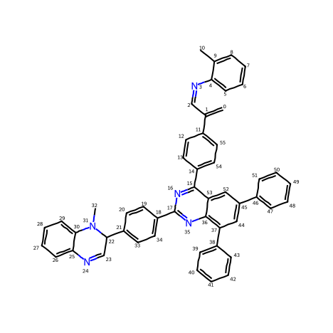 C=C(/C=N\c1ccccc1C)c1ccc(-c2nc(-c3ccc(C4C=Nc5ccccc5N4C)cc3)nc3c(-c4ccccc4)cc(-c4ccccc4)cc23)cc1